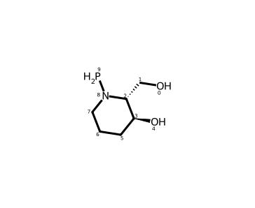 OC[C@@H]1[C@@H](O)CCCN1P